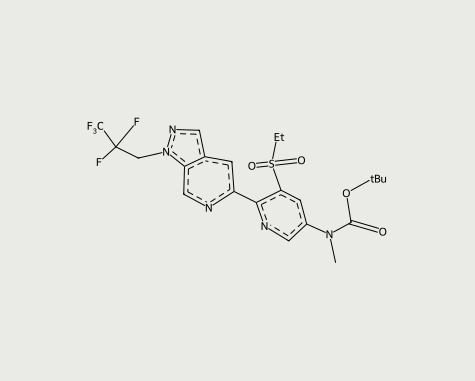 CCS(=O)(=O)c1cc(N(C)C(=O)OC(C)(C)C)cnc1-c1cc2cnn(CC(F)(F)C(F)(F)F)c2cn1